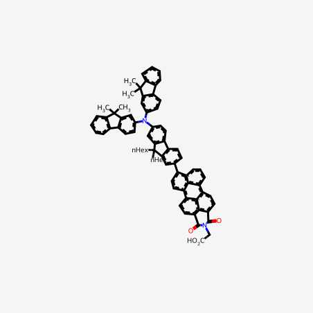 CCCCCCC1(CCCCCC)c2cc(-c3ccc4c5ccc6c7c(ccc(c8cccc3c84)c75)C(=O)N(CC(=O)O)C6=O)ccc2-c2ccc(N(c3ccc4c(c3)C(C)(C)c3ccccc3-4)c3ccc4c(c3)C(C)(C)c3ccccc3-4)cc21